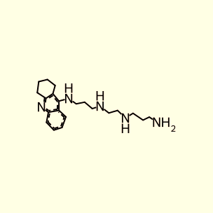 NCCCNCCNCCCNc1c2c(nc3ccccc13)CCCC2